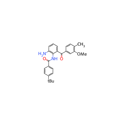 COc1cc(C(=O)c2cccc(N)c2NC(=O)c2ccc(C(C)(C)C)cc2)ccc1C